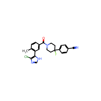 Cc1ccc(C(=O)N2CCC(F)(c3ccc(C#N)cc3)CC2)cc1-c1[nH]cnc1Cl